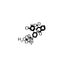 CC(C)(C)OC(=O)N[C@H]1CC[C@H](N2C(=O)c3ccccc3[C@@H](C(=O)O)[C@@H]2c2ccc(Cl)cc2)CC1